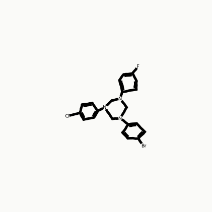 Fc1ccc(N2CN(c3ccc(Cl)cc3)CN(c3ccc(Br)cc3)C2)cc1